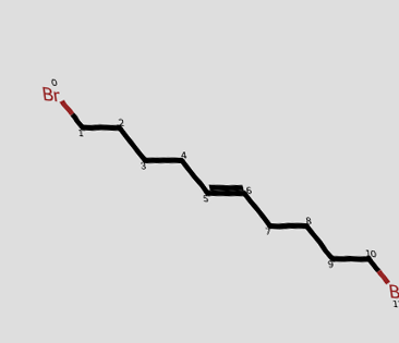 BrCCCCC=CCCCCBr